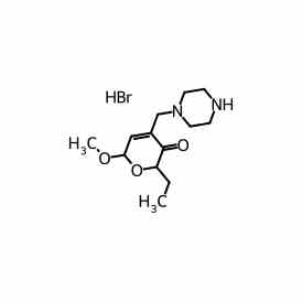 Br.CCC1OC(OC)C=C(CN2CCNCC2)C1=O